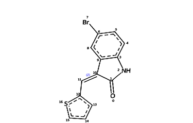 O=C1Nc2ccc(Br)cc2/C1=C/c1cccs1